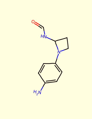 Nc1ccc(N2CCC2NC=O)cc1